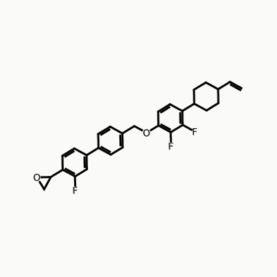 C=CC1CCC(c2ccc(OCc3ccc(-c4ccc(C5CO5)c(F)c4)cc3)c(F)c2F)CC1